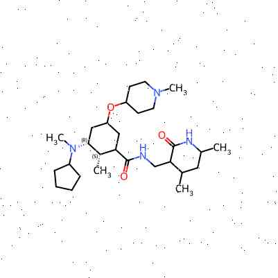 CC1CC(C)C(CNC(=O)C2CC(OC3CCN(C)CC3)C[C@@H](N(C)C3CCCC3)[C@H]2C)C(=O)N1